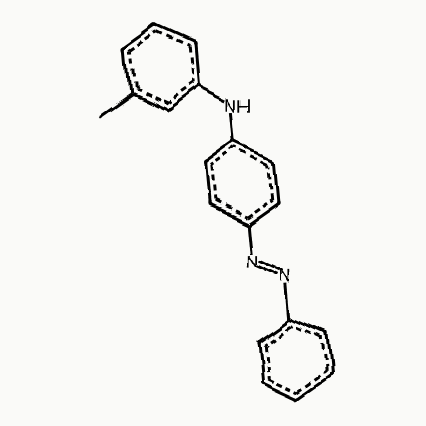 Cc1cccc(Nc2ccc(/N=N/c3ccccc3)cc2)c1